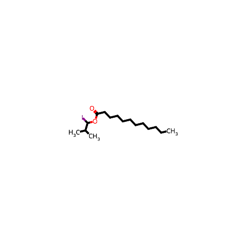 CCCCCCCCCCCC(=O)OC(I)C(C)C